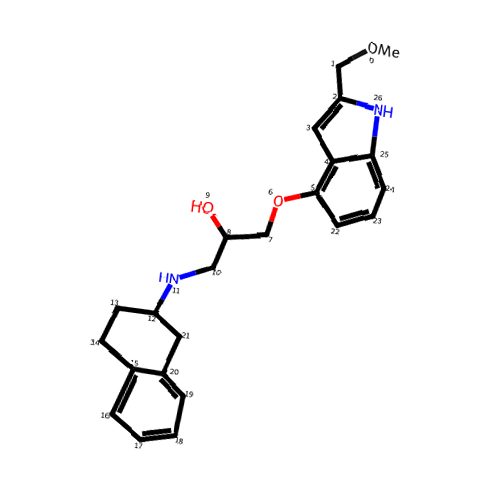 COCc1cc2c(OCC(O)CNC3CCc4ccccc4C3)cccc2[nH]1